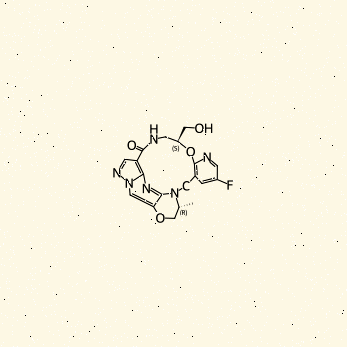 C[C@@H]1COc2cn3ncc4c3nc2N1Cc1cc(F)cnc1O[C@H](CO)CNC4=O